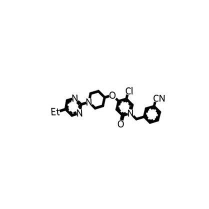 CCc1cnc(N2CCC(Oc3cc(=O)n(Cc4cccc(C#N)c4)cc3Cl)CC2)nc1